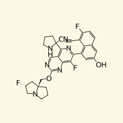 C#Cc1c(F)ccc2cc(O)cc(-c3nc(C4(C#N)CCCN4)c4cnc(OC[C@@]56CCCN5C[C@H](F)C6)nc4c3F)c12